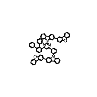 c1ccc(-c2cccc(-c3cc(-c4cccc(-n5c6ccccc6c6ccc(-c7ccc8oc9ccccc9c8c7)cc65)c4)nc(-n4c5ccccc5c5ccc(-c6ccc7oc8ccccc8c7c6)cc54)n3)c2-c2ccccc2)cc1